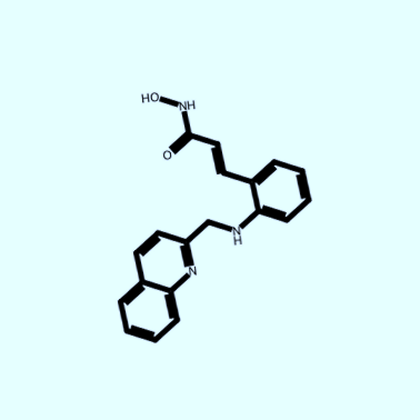 O=C(C=Cc1ccccc1NCc1ccc2ccccc2n1)NO